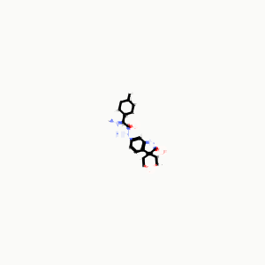 CC1CCC(C(NC(=O)O)C(=O)Nc2ccc3c(c2)NC(=O)C32CCOCC2)CC1